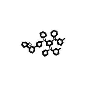 Cc1cccc(N(c2ccccc2)c2cc(N(c3ccccc3)c3ccc(-c4cccc5c4sc4ccccc45)cc3)cc(N(c3ccccc3)c3cccc(C)c3)c2)c1